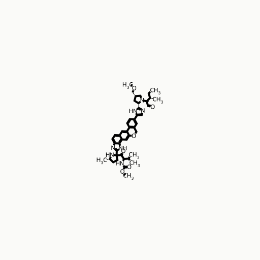 CC[C@H](C)[C](C=O)N1C[C@@H](COC)C[C@H]1c1ncc(-c2ccc3c(c2)COc2cc4c(ccc5nc(C6(C(=O)C(NC(=O)OC)C(C)C)CC[C@H](C)N6)[nH]c54)cc2-3)[nH]1